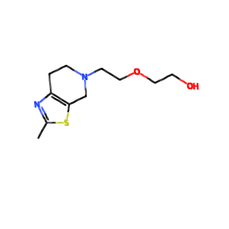 Cc1nc2c(s1)CN(CCOCCO)CC2